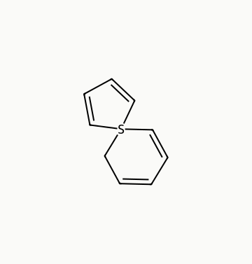 C1=CCS2(C=C1)C=CC=C2